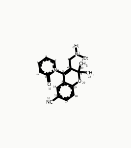 CCN(CC)CC1=C(n2ccccc2=O)c2cc(C#N)ccc2OC1(C)C